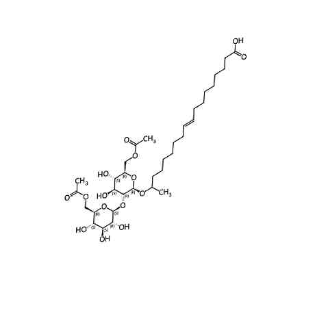 CC(=O)OC[C@H]1O[C@@H](O[C@H]2[C@H](OC(C)CCCCCCC=CCCCCCCCC(=O)O)O[C@H](COC(C)=O)[C@@H](O)[C@@H]2O)[C@H](O)[C@@H](O)[C@@H]1O